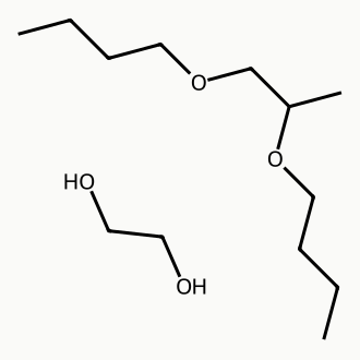 CCCCOCC(C)OCCCC.OCCO